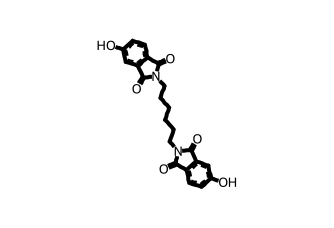 O=C1c2ccc(O)cc2C(=O)N1CCCCCCN1C(=O)c2ccc(O)cc2C1=O